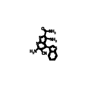 N#Cc1c(N)nc2sc(C(N)=O)c(N)c2c1-c1csc2ccccc12